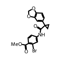 COC(=O)c1ccc(NC(=O)C2(c3ccc4c(c3)OCO4)CC2)cc1Br